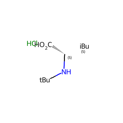 CC[C@H](C)[C@H](NC(C)(C)C)C(=O)O.Cl